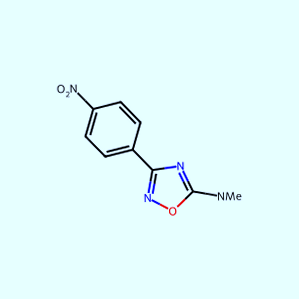 CNc1nc(-c2ccc([N+](=O)[O-])cc2)no1